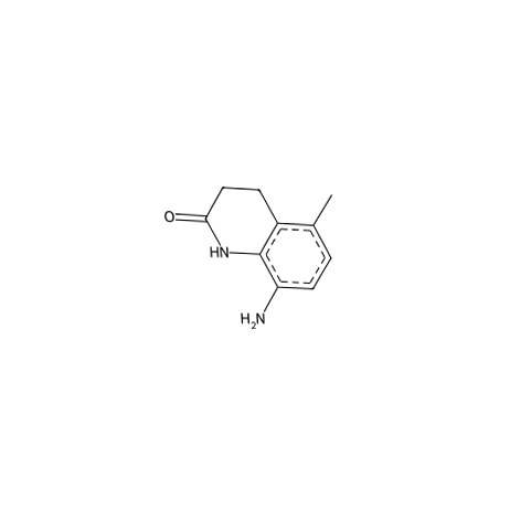 Cc1ccc(N)c2c1CCC(=O)N2